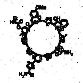 CCNC(=O)O[C@H]1CN2C(=O)[C@H](Cc3ccc(OC)cc3)NC(=O)c3csc(n3)[C@H]([C@H](O)c3ccccc3)NC(=O)c3nc(sc3C)[C@H](CC(N)=O)NC(=O)c3csc(n3)-c3ccc(-c4nc(C(N)=O)cs4)nc3-c3csc(n3)-c3csc(n3)[C@@H]2[C@H]1C